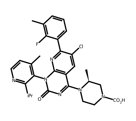 Cc1cccc(-c2nc3c(cc2Cl)c(N2CCN(C(=O)O)C[C@@H]2C)nc(=O)n3-c2c(C)ccnc2C(C)C)c1F